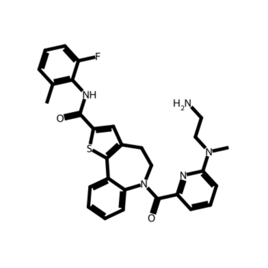 Cc1cccc(F)c1NC(=O)c1cc2c(s1)-c1ccccc1N(C(=O)c1cccc(N(C)CCN)n1)CC2